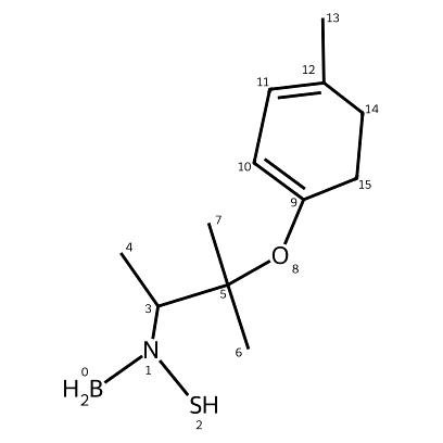 BN(S)C(C)C(C)(C)OC1=CC=C(C)CC1